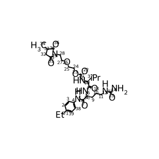 CCc1ccc(NC(=O)[C@H](CCCNC(N)=O)NC(=O)[C@@H](NC(=O)OCCOCCN2C(=O)CC(C)C2=O)C(C)C)cc1